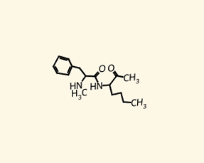 CCCCC(NC(=O)C(Cc1ccccc1)NC)C(C)=O